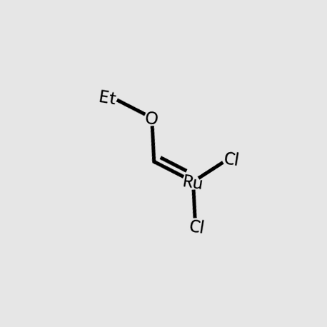 CCO[CH]=[Ru]([Cl])[Cl]